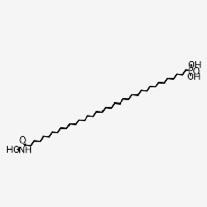 O=C(CCCCCCCCCCCCCCCCCCCCCCCCCCCCCCCCCCCCP(=O)(O)O)NO